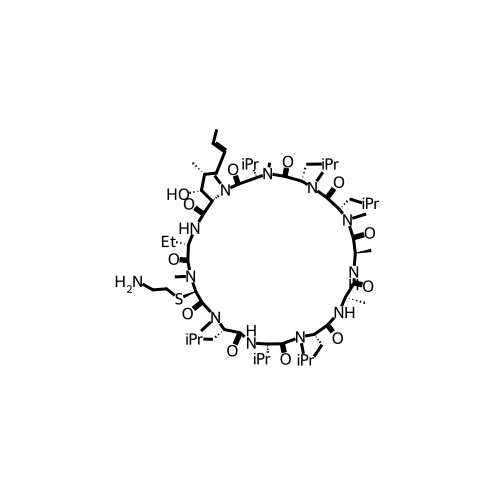 C/C=C/C[C@@H](C)[C@@H](O)[C@H]1C(=O)N[C@@H](CC)C(=O)N(C)[C@H](SCCN)C(=O)N(C)[C@@H](CC(C)C)C(=O)N[C@@H](C(C)C)C(=O)N(C)[C@@H](CC(C)C)C(=O)N[C@@H](C)C(=O)N[C@H](C)C(=O)N(C)[C@@H](CC(C)C)C(=O)N(C)[C@@H](CC(C)C)C(=O)N(C)[C@@H](C(C)C)C(=O)N1C